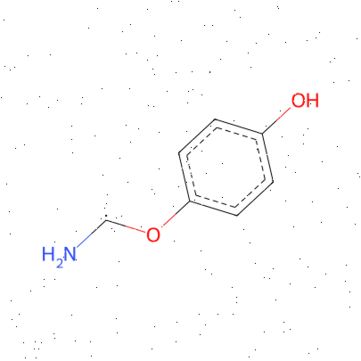 N[CH]Oc1ccc(O)cc1